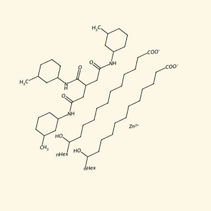 CC1CCCC(NC(=O)CC(CC(=O)NC2CCCC(C)C2)C(=O)NC2CCCC(C)C2)C1.CCCCCCC(O)CCCCCCCCCCC(=O)[O-].CCCCCCC(O)CCCCCCCCCCC(=O)[O-].[Zn+2]